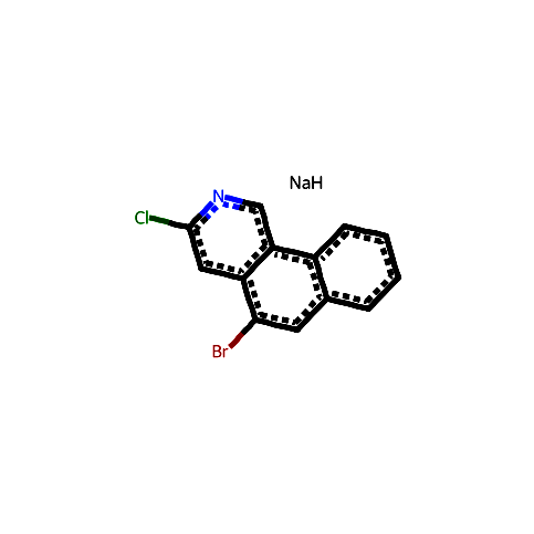 Clc1cc2c(Br)cc3ccccc3c2cn1.[NaH]